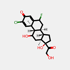 C[C@]12C=C(Cl)C(=O)C=C1C(F)C[C@@H]1[C@@H]2C(O)C[C@@]2(C)[C@H]1CC[C@]2(O)C(=O)CO